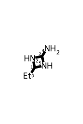 CCC1NC(N)N1